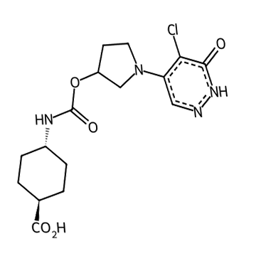 O=C(N[C@H]1CC[C@H](C(=O)O)CC1)OC1CCN(c2cn[nH]c(=O)c2Cl)C1